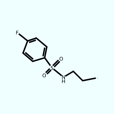 [CH2]CCNS(=O)(=O)c1ccc(F)cc1